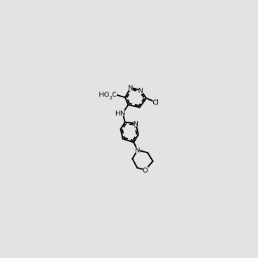 O=C(O)c1nnc(Cl)cc1Nc1ccc(N2CCOCC2)cn1